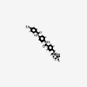 CCc1ccc(C(=O)Nc2ccc(NC(=O)c3ccc(C[N+](C)(C)B[N+](C)(C)C)cc3)cc2)cc1